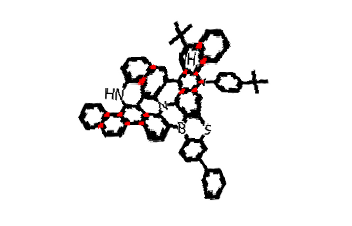 CC(C)(C)c1ccc(N(c2ccc(C(C)(C)C)cc2)c2cc3c4c(c2)N(c2c(-c5cccc(-c6ccccc6)c5N)cccc2-c2cccc(-c5ccccc5)c2Nc2ccccc2)c2cc(-c5ccccc5)ccc2B4c2ccc(-c4ccccc4)cc2S3)cc1